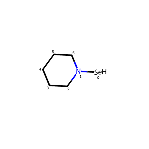 [SeH]N1CCCCC1